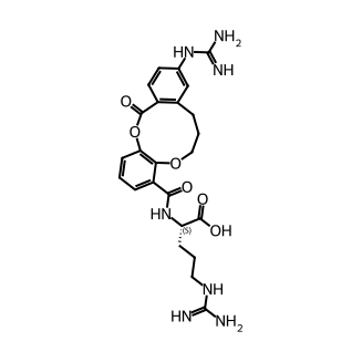 N=C(N)NCCC[C@H](NC(=O)c1cccc2c1OCCCc1cc(NC(=N)N)ccc1C(=O)O2)C(=O)O